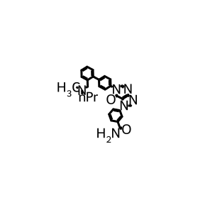 CCCN(C)Cc1ccccc1-c1ccc(-n2cnc3ncn(-c4cccc(C(N)=O)c4)c3c2=O)cc1